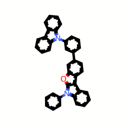 c1ccc(-n2c3ccccc3c3c4ccc(-c5cccc(-n6c7ccccc7c7ccccc76)c5)cc4oc32)cc1